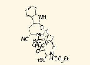 CCOC(=O)N[C@H](C(=O)N1C(C(=O)N[C@H](C#N)CC2C(=O)Nc3ccccc32)[C@H]2C[C@H]1C2(C)C)C(C)(C)C